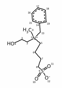 C[N+](CCO)(CCCCS(=O)(=O)[O-])Cc1ccccc1